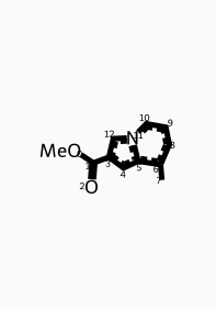 COC(=O)c1cc2c(C)cccn2c1